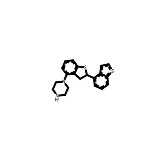 c1cc2c(c(N3CCNCC3)c1)CC(c1cccc3sccc13)S2